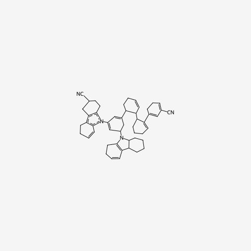 N#CC1=CCCC(C2=CCCCC2C2C=CCCC2C2=CC(n3c4c(c5c3CCC(C#N)C5)CCC=C4)=CC(N3C4=C(C=CCC4)C4CCCCC43)C2)=C1